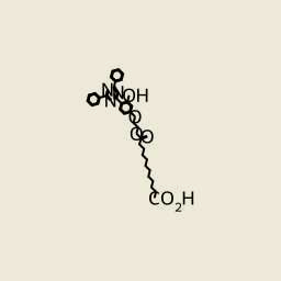 O=C(O)CCCCCCCCCCC(=O)OCCOc1ccc(-c2nc(-c3ccccc3)nc(-c3ccccc3)n2)c(O)c1